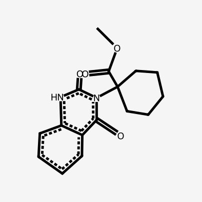 COC(=O)C1(n2c(=O)[nH]c3ccccc3c2=O)CCCCC1